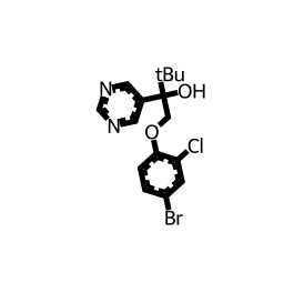 CC(C)(C)C(O)(COc1ccc(Br)cc1Cl)c1cncnc1